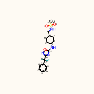 CC(C)(C)S(=O)(=O)NC[C@H]1CC[C@H](Nc2nc(C(F)(F)c3ccccc3)no2)CC1